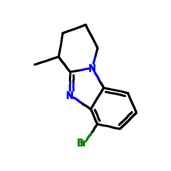 CC1CCCn2c1nc1c(Br)cccc12